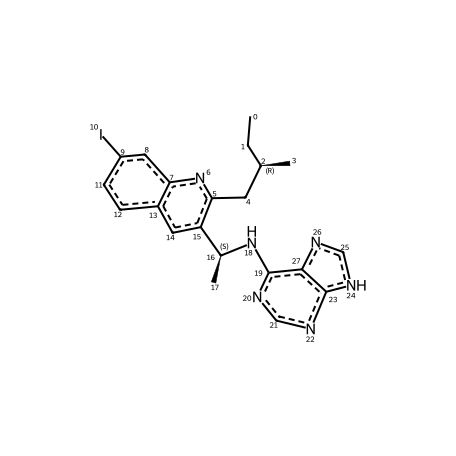 CC[C@@H](C)Cc1nc2cc(I)ccc2cc1[C@H](C)Nc1ncnc2[nH]cnc12